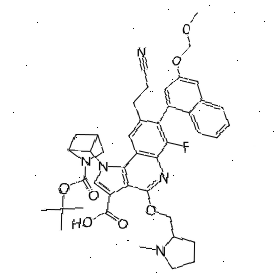 COCOc1cc(-c2c(CCC#N)cc3c(nc(OCC4CCCN4C)c4c(C(=O)O)cn(C5C6CC5N(C(=O)OC(C)(C)C)C6)c43)c2F)c2ccccc2c1